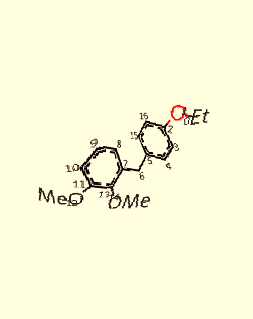 CCOc1ccc(Cc2cccc(OC)c2OC)cc1